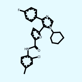 Cc1ccc(NC(=O)c2ccc(-c3c(-c4ccc(F)cc4)ncn3C3CCCCC3)o2)c(Cl)c1